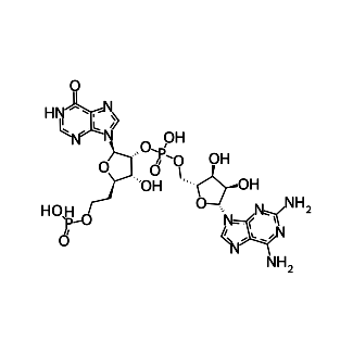 Nc1nc(N)c2ncn([C@@H]3O[C@H](COP(=O)(O)O[C@@H]4[C@H](O)[C@@H](CCO[PH](=O)O)O[C@H]4n4cnc5c(=O)[nH]cnc54)[C@@H](O)[C@H]3O)c2n1